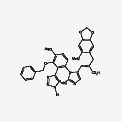 CCCCc1ncc(C=C(Cc2cc3c(cc2OC)OCO3)C(=O)O)n1-c1ccc(OC)c(OCc2ccccc2)c1-c1nnn(CC)n1